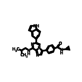 CC(C)CNc1nc(-c2ccc3[nH]ccc3c2)cn2c(-c3ccc(C(=O)NC4CC4)cc3)cnc12